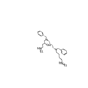 CCNCCCCN(CCCCN(Cc1ccccc1)C[C@@H](O)CCNCC)Cc1ccccc1